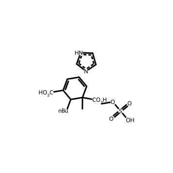 CCCCC1C(C(=O)O)=CC=CC1(C)C(=O)O.COS(=O)(=O)O.c1c[nH]cn1